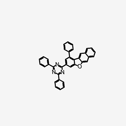 c1ccc(-c2nc(-c3ccccc3)nc(-c3cc(-c4ccccc4)c4c(c3)oc3cc5ccccc5cc34)n2)cc1